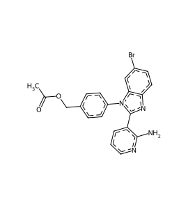 CC(=O)OCc1ccc(-n2c(-c3cccnc3N)nc3ccc(Br)cc32)cc1